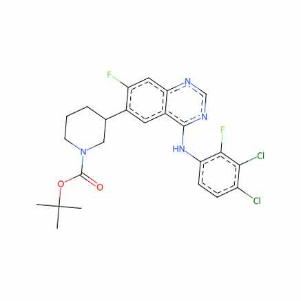 CC(C)(C)OC(=O)N1CCCC(c2cc3c(Nc4ccc(Cl)c(Cl)c4F)ncnc3cc2F)C1